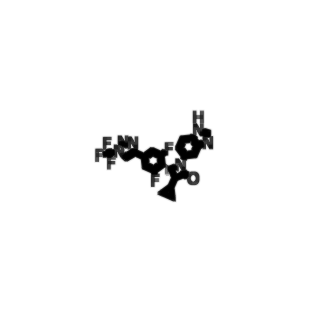 O=C1C(C2CC2)[C@H](c2c(F)cc(-c3cn(C(F)(F)F)nn3)cc2F)N1c1ccc2[nH]cnc2c1